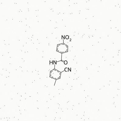 Cc1ccc(NC(=O)c2ccc([N+](=O)[O-])cc2)c(C#N)c1